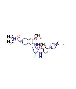 COc1cc2c(cc1Nc1ncc(F)c(Nc3ccc(N4CCN(C)CC4)cc3OC)n1)CCN(CC(=O)N(C)C)CC2